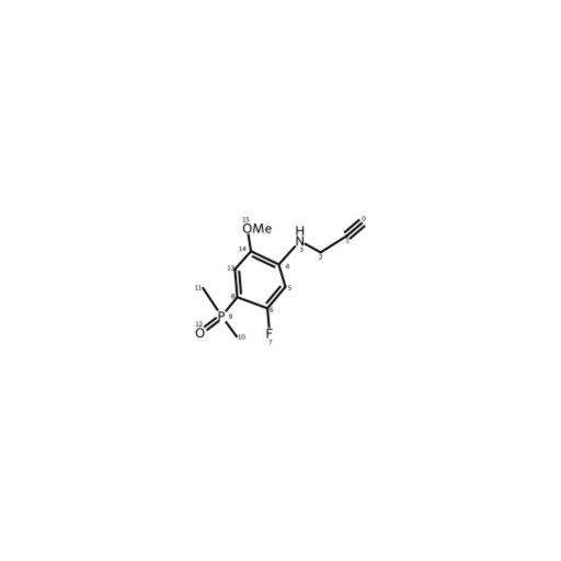 C#CCNc1cc(F)c(P(C)(C)=O)cc1OC